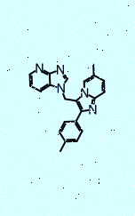 Cc1ccc(-c2nc3ccc(C)cn3c2Cn2cnc3ncccc32)cc1